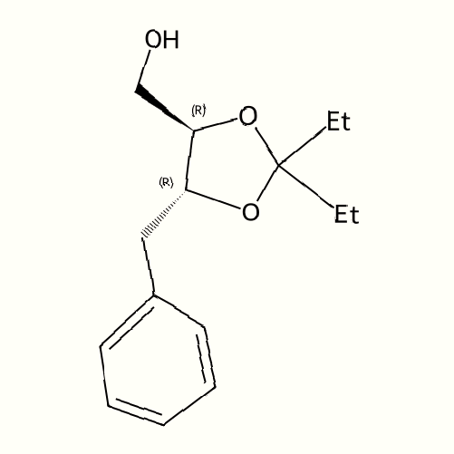 CCC1(CC)O[C@H](CO)[C@@H](Cc2ccccc2)O1